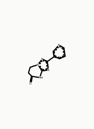 O=C1CCn2nc(-c3cccnc3)nc2N1